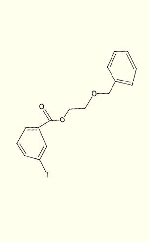 O=C(OCCOCc1ccccc1)c1cccc(I)c1